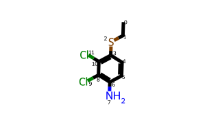 CCSc1ccc(N)c(Cl)c1Cl